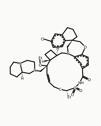 CCO[C@@]1(CN2CCN3CCCC[C@@H]3C2)/C=C/CC[C@@H](CC)S(=O)(=O)NC(=O)c2ccc3c(c2)N(C[C@@H]2CC[C@H]21)C[C@@]1(CCCc2cc(Cl)ccc21)CO3